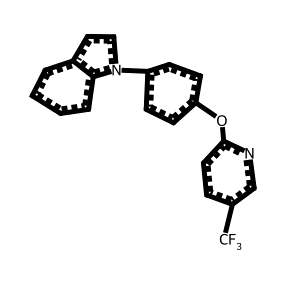 FC(F)(F)c1ccc(Oc2ccc(-n3ccc4ccccc43)cc2)nc1